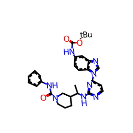 CC(Nc1nccc(-n2cnc3cc(NC(=O)OC(C)(C)C)ccc32)n1)C1CCCN(C(=O)Nc2ccccc2)C1